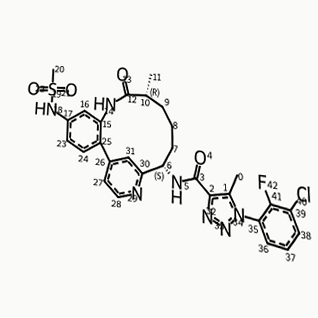 Cc1c(C(=O)N[C@H]2CCC[C@@H](C)C(=O)Nc3cc(NS(C)(=O)=O)ccc3-c3ccnc2c3)nnn1-c1cccc(Cl)c1F